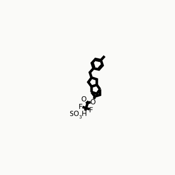 Cc1ccc(CC2CC3C4CC(OC(=O)C(F)(F)S(=O)(=O)O)C(C4)C3C2)cc1